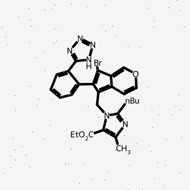 CCCCc1nc(C)c(C(=O)OCC)n1Cc1c2ccocc-2c(Br)c1-c1ccccc1-c1nnn[nH]1